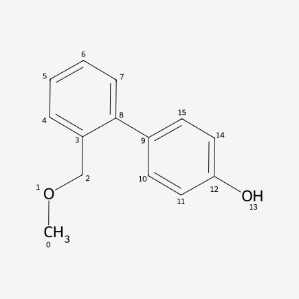 COCc1ccccc1-c1ccc(O)cc1